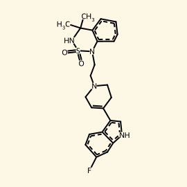 CC1(C)NS(=O)(=O)N(CCN2CC=C(c3c[nH]c4cc(F)ccc34)CC2)c2ccccc21